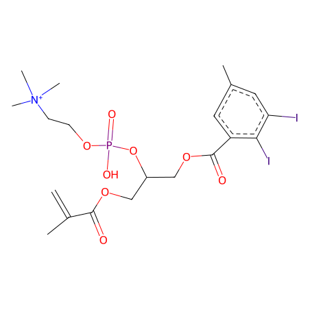 C=C(C)C(=O)OCC(COC(=O)c1cc(C)cc(I)c1I)OP(=O)(O)OCC[N+](C)(C)C